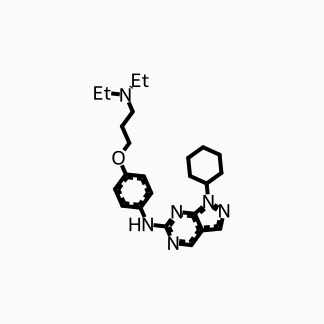 CCN(CC)CCCOc1ccc(Nc2ncc3cnn(C4CCCCC4)c3n2)cc1